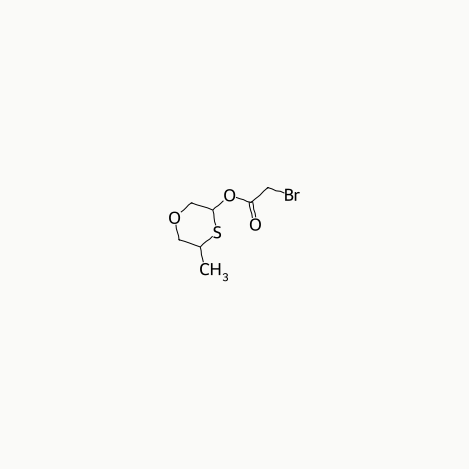 CC1COCC(OC(=O)CBr)S1